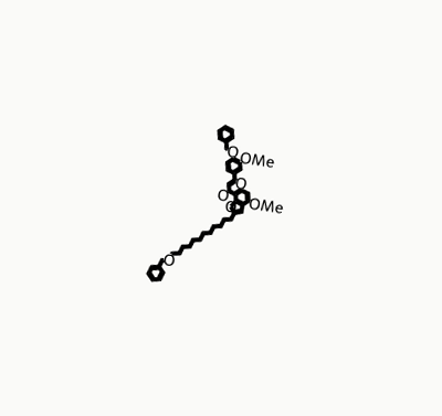 COc1cc(-c2cc(=O)c3c(cc(OC)c4cc(CCCCCCCCCCCCOCc5ccccc5)oc43)o2)ccc1OCc1ccccc1